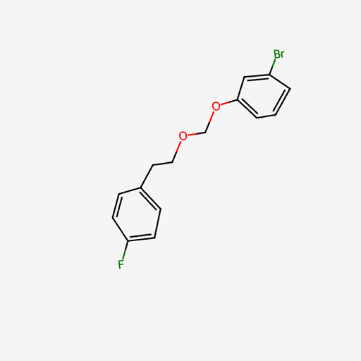 Fc1ccc(CCOCOc2cccc(Br)c2)cc1